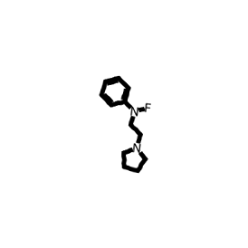 FN(CCN1CCCC1)c1ccccc1